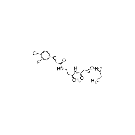 C=C(CCNC(=O)COc1ccc(Cl)c(F)c1)NC(=O)CSON1CC1CC